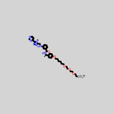 C[C@@H](NC(=O)c1cccc(NCc2nnc(-c3ccncn3)n2C)c1)c1ccc(OCCCCCCOCCOCCOCCC(=O)O)cc1